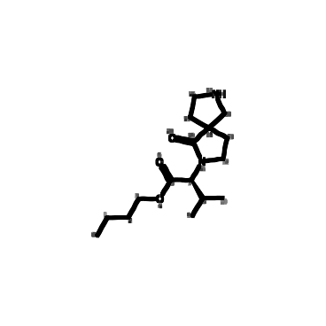 CCCCOC(=O)[C@H](C(C)C)N1CCC2(CCNC2)C1=O